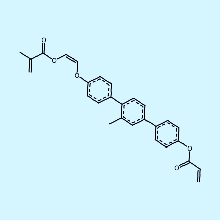 C=CC(=O)Oc1ccc(-c2ccc(-c3ccc(O/C=C\OC(=O)C(=C)C)cc3)c(C)c2)cc1